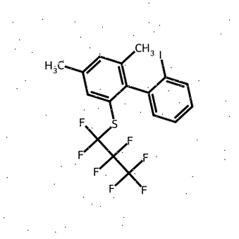 Cc1[c]c(C)c(-c2ccccc2I)c(SC(F)(F)C(F)(F)C(F)(F)F)c1